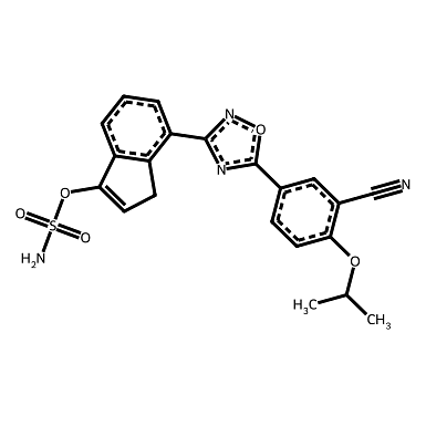 CC(C)Oc1ccc(-c2nc(-c3cccc4c3CC=C4OS(N)(=O)=O)no2)cc1C#N